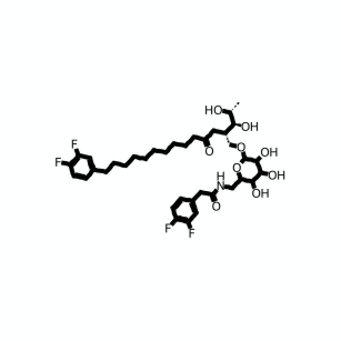 C[C@@H](O)[C@@H](O)[C@H](COC1OC(CNC(=O)Cc2ccc(F)c(F)c2)C(O)C(O)C1O)CC(=O)CCCCCCCCCCc1ccc(F)c(F)c1